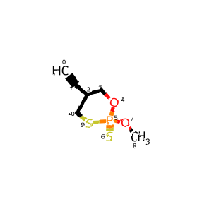 C#CC1COP(=S)(OC)SC1